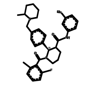 Cc1cccc(F)c1C(=O)N1CCCC(C(=O)Nc2cccc(C(C)(C)C)c2)[C@@H]1c1ccc(CN2CCCCC2C)cc1